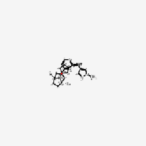 Cn1cc(Nc2nccc(N3C[C@H]4CC[C@@H](C3)N4C3CCC(C#N)C3)n2)cn1